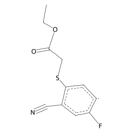 CCOC(=O)CSc1c[c]c(F)cc1C#N